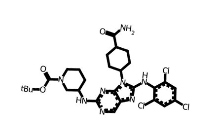 CC(C)(C)OC(=O)N1CCCC(Nc2ncc3nc(Nc4c(Cl)cc(Cl)cc4Cl)n(C4CCC(C(N)=O)CC4)c3n2)C1